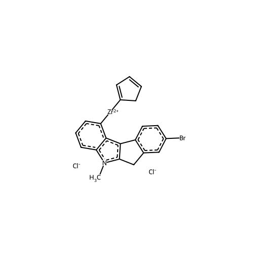 Cn1c2c(c3[c]([Zr+2][C]4=CC=CC4)cccc31)-c1ccc(Br)cc1C2.[Cl-].[Cl-]